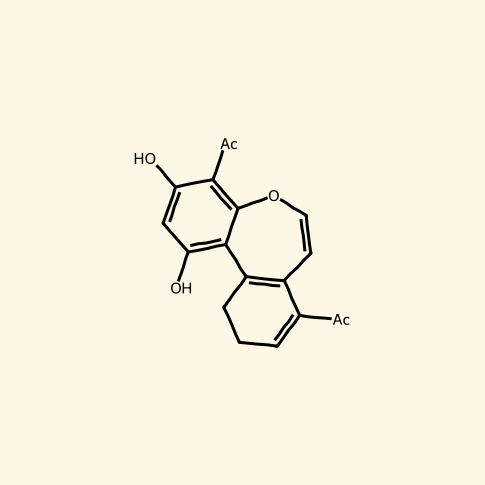 CC(=O)C1=CCCC2=C1C=COc1c(C(C)=O)c(O)cc(O)c12